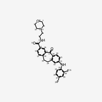 O=C(NCCN1CCOCC1)c1ccc2c(c1)C(=O)c1ccc(Nc3ccc(F)cc3F)cc1CC2